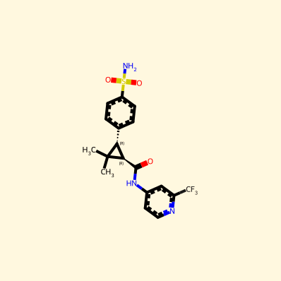 CC1(C)[C@H](C(=O)Nc2ccnc(C(F)(F)F)c2)[C@H]1c1ccc(S(N)(=O)=O)cc1